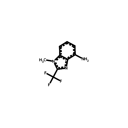 Cn1c(C(F)(F)F)nc2c(N)cccc21